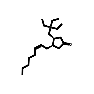 CCCCC/C=C\C[C@@H]1CC(=O)C[C@@H]1C[Si](CC)(CC)CC